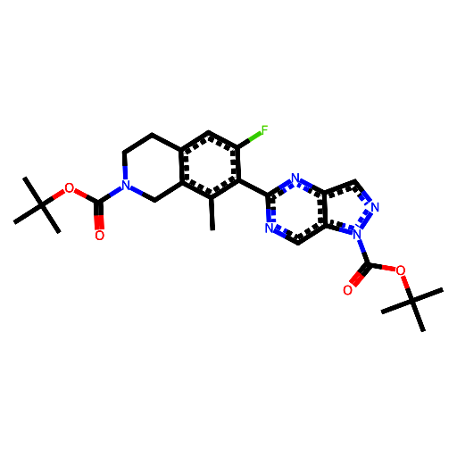 Cc1c2c(cc(F)c1-c1ncc3c(cnn3C(=O)OC(C)(C)C)n1)CCN(C(=O)OC(C)(C)C)C2